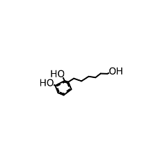 OCCCCCCc1cccc(O)c1O